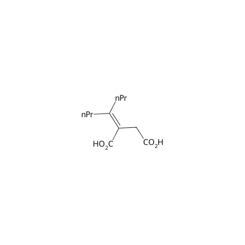 CCCC(CCC)=C(CC(=O)O)C(=O)O